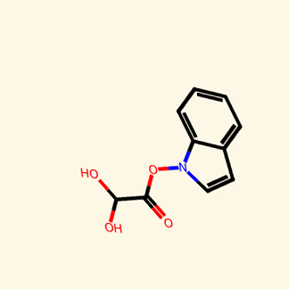 O=C(On1ccc2ccccc21)C(O)O